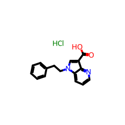 Cl.O=C(O)c1cn(CCc2ccccc2)c2cccnc12